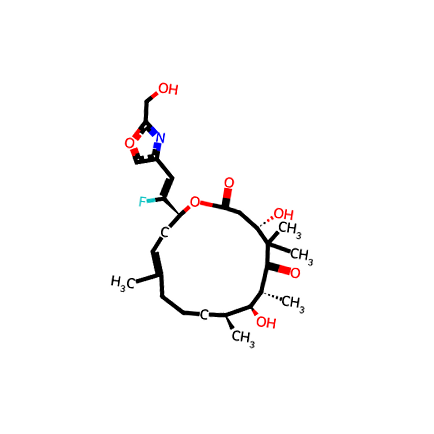 C/C1=C/C[C@@H](C(F)=Cc2coc(CO)n2)OC(=O)C[C@H](O)C(C)(C)C(=O)[C@H](C)[C@@H](O)[C@@H](C)CCC1